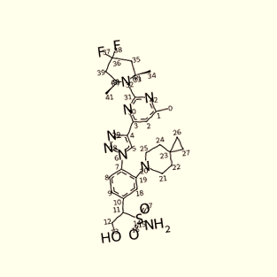 Cc1cc(-c2cn(-c3ccc(C(CO)S(N)(=O)=O)cc3N3CCC4(CC3)CC4)nn2)nc(N2[C@H](C)CC(F)(F)C[C@@H]2C)n1